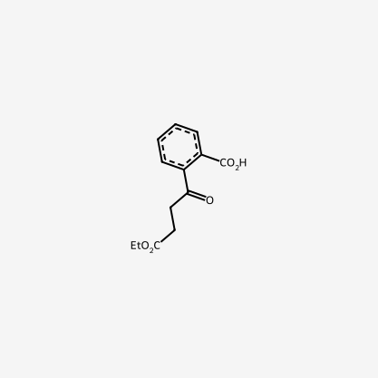 CCOC(=O)CCC(=O)c1ccccc1C(=O)O